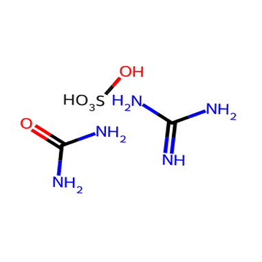 N=C(N)N.NC(N)=O.O=S(=O)(O)O